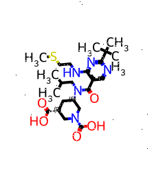 CSCCNc1nc(C(C)(C)C)ncc1C(=O)N(CC(C)C)[C@H]1C[C@@H](C(=O)O)CN(C(=O)O)C1